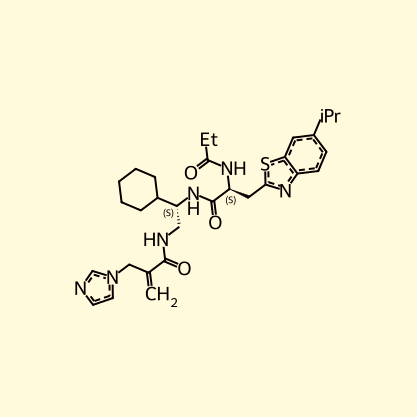 C=C(Cn1ccnc1)C(=O)NC[C@@H](NC(=O)[C@H](Cc1nc2ccc(C(C)C)cc2s1)NC(=O)CC)C1CCCCC1